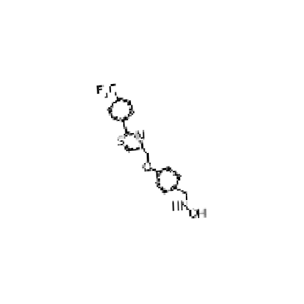 ONCc1ccc(OCc2csc(-c3ccc(C(F)(F)F)cc3)n2)cc1